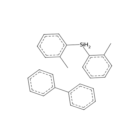 Cc1ccccc1[SiH2]c1ccccc1C.c1ccc(-c2ccccc2)cc1